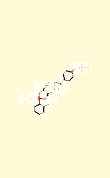 Cc1ccccc1[C@]1(O)C[C@H]2CN(CC(=O)c3ccc(O)cc3)C[C@H]2C1